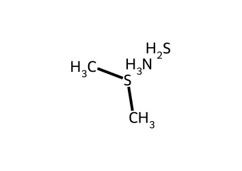 CSC.N.S